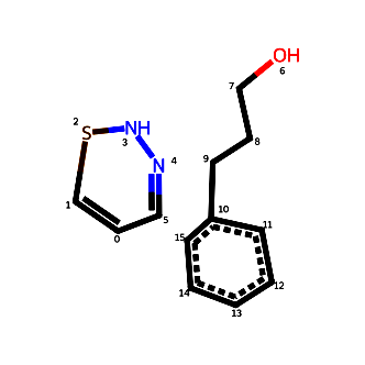 C1=CSNN=C1.OCCCc1ccccc1